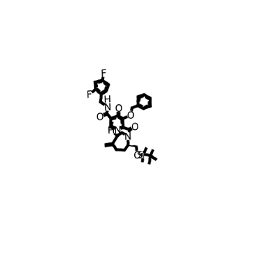 C=C1CC[C@H](CO[Si](C)(C)C(C)(C)C)N2C[C@H]1n1cc(C(=O)NCc3ccc(F)cc3F)c(=O)c(OCc3ccccc3)c1C2=O